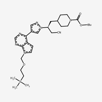 CC(C)(C)OC(=O)N1CCC(C[C@@H](CC#N)n2cc(-c3ncnc4c3ccn4COCC[Si](C)(C)C)cn2)CC1